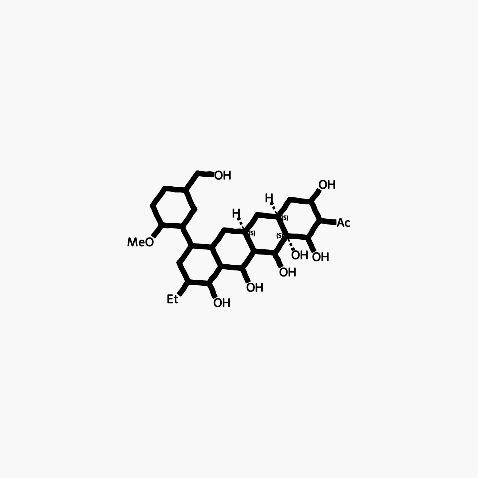 CCC1CC(C2CC(CO)CCC2OC)C2C[C@H]3C[C@H]4CC(O)C(C(C)=O)C(O)[C@@]4(O)C(O)C3C(O)C2C1O